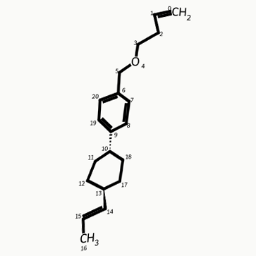 C=CCCOCc1ccc([C@H]2CC[C@H](C=CC)CC2)cc1